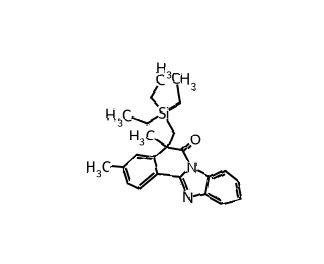 CC[Si](CC)(CC)CC1(C)C(=O)n2c(nc3ccccc32)-c2ccc(C)cc21